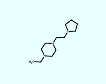 [CH2]CN1CCN(CCN2CCCC2)CC1